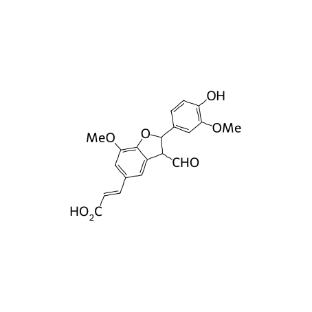 COc1cc(C2Oc3c(OC)cc(/C=C/C(=O)O)cc3C2C=O)ccc1O